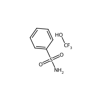 NS(=O)(=O)c1ccccc1.OC(F)(F)F